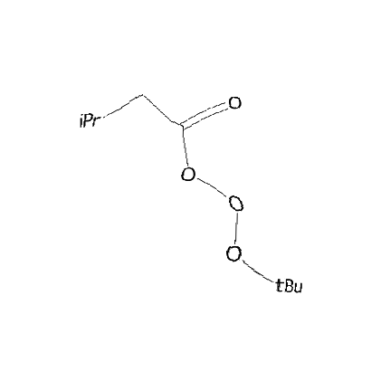 CC(C)CC(=O)OOOC(C)(C)C